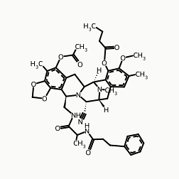 CCCC(=O)Oc1c(OC)c(C)cc2c1[C@@H]1C3Cc4c(OC(C)=O)c(C)c5c(c4[C@H](CNC(=O)C(C)NC(=O)CCc4ccccc4)N3[C@@H](C#N)[C@@H](C2)N1C)OCO5